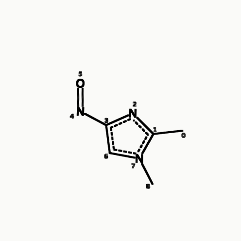 Cc1nc(N=O)cn1C